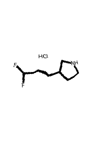 Cl.FC(F)CCC1CCNC1